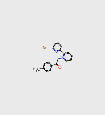 O=C(C[n+]1ccccc1-c1ccccn1)c1ccc(C(F)(F)F)cc1.[Br-]